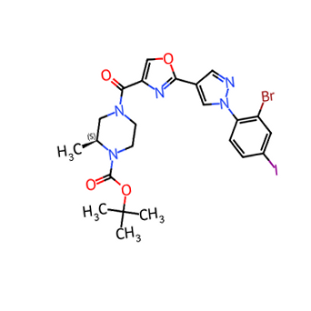 C[C@H]1CN(C(=O)c2coc(-c3cnn(-c4ccc(I)cc4Br)c3)n2)CCN1C(=O)OC(C)(C)C